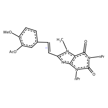 CCCn1c(=O)c2c(nc(/C=C/c3ccc(OC)c(OC(C)=O)c3)n2C)n(CCC)c1=O